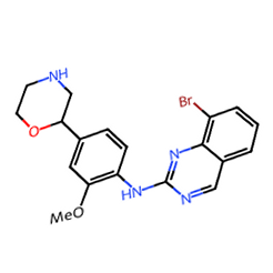 COc1cc(C2CNCCO2)ccc1Nc1ncc2cccc(Br)c2n1